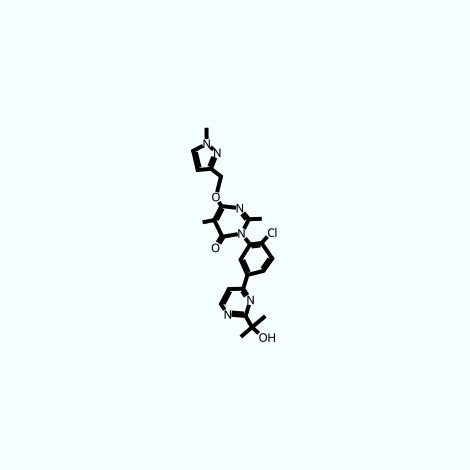 Cc1c(OCc2ccn(C)n2)nc(C)n(-c2cc(-c3ccnc(C(C)(C)O)n3)ccc2Cl)c1=O